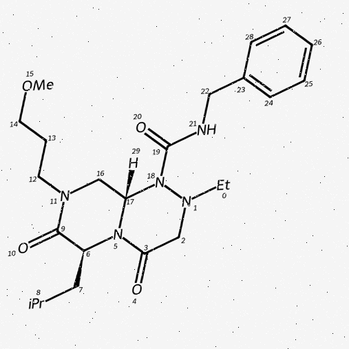 CCN1CC(=O)N2[C@@H](CC(C)C)C(=O)N(CCCOC)C[C@@H]2N1C(=O)NCc1ccccc1